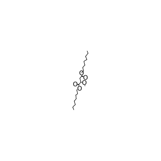 CCCCCCCCOC(=O)CC(OC)C(=O)OCCCCCCCC